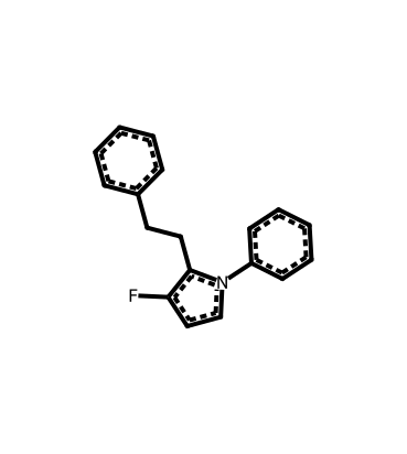 Fc1ccn(-c2ccccc2)c1CCc1ccccc1